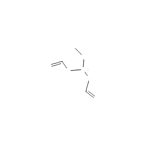 C=CO[SiH](OC)OC=C